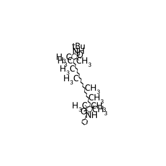 CC1=C(/C=C/C(C)=C/C=C/C(C)=C/C=C/C=C(C)/C=C/C=C(C)/C=C/C2=C(C)C(=O)C(NCC(C)(C)C)CC2(C)C)C(C)(C)CC(NCc2ccccc2)C1=O